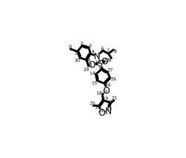 Cc1ccc(N(CC(C)C)S(=O)(=O)c2ccc(OCc3c(C)noc3C)cc2)c(C)c1